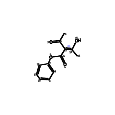 CC(=O)/C(C(=O)Oc1ccccc1)=C(/C)O